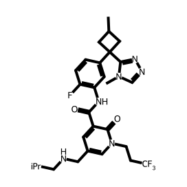 CC(C)CNCc1cc(C(=O)Nc2cc(C3(c4nncn4C)CC(C)C3)ccc2F)c(=O)n(CCC(F)(F)F)c1